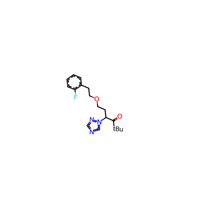 CC(C)(C)C(=O)C(CCOCCc1ccccc1F)n1cncn1